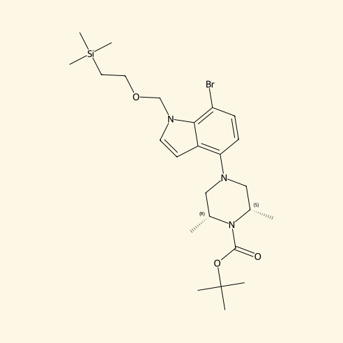 C[C@@H]1CN(c2ccc(Br)c3c2ccn3COCC[Si](C)(C)C)C[C@H](C)N1C(=O)OC(C)(C)C